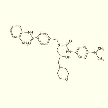 CN(C)c1ccc(NC(=O)N(Cc2ccc(C(=O)Nc3ccccc3N)cc2)CC(O)CN2CCOCC2)cc1